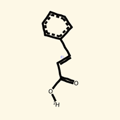 [2H]OC(=O)/C=C/c1ccccc1